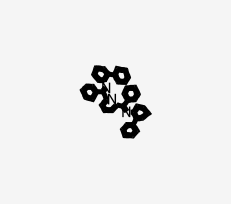 c1ccc(/C(=N\c2ccccc2-c2ccccc2)c2cccc(/C(=N/c3ccccc3-c3ccccc3)c3ccccc3)n2)cc1